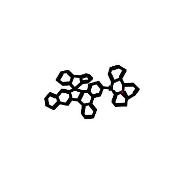 c1ccc(-c2ccccc2N(c2ccccc2)c2ccc3c4c(c5ccccc5c3c2)-c2cc3ccccc3cc2C42c3ccccc3-c3ccccc32)cc1